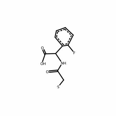 O=C(C[S])NC(C(=O)O)c1ccccc1F